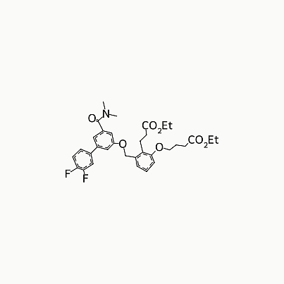 CCOC(=O)CCCOc1cccc(COc2cc(C(=O)N(C)C)cc(-c3ccc(F)c(F)c3)c2)c1CCC(=O)OCC